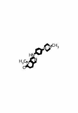 CN1CCN(c2ccc(Nc3cc4c(cn3)CCC(=O)N4C)cc2)CC1